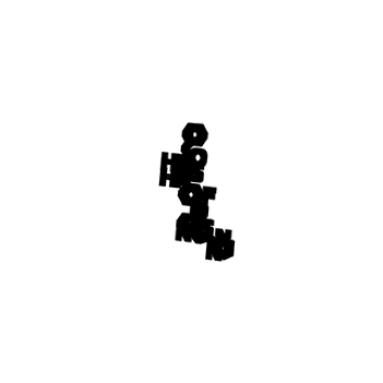 O=C(Cc1ccccc1)NC(=S)Nc1ccc(Oc2ccnc3cc(-c4ncccn4)sc23)c(F)c1